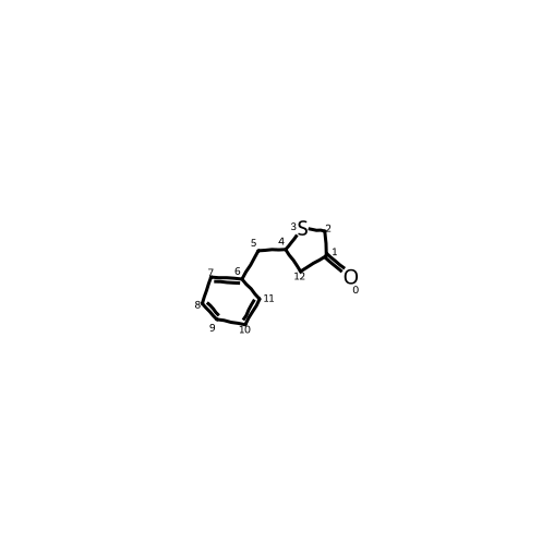 O=C1CSC(Cc2ccccc2)C1